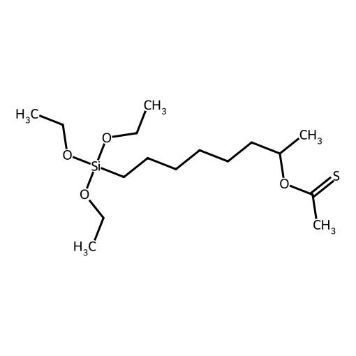 CCO[Si](CCCCCCC(C)OC(C)=S)(OCC)OCC